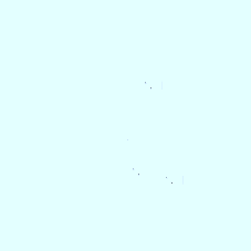 CC(C)(C)C(=O)NN.Cl.N